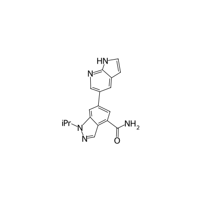 CC(C)n1ncc2c(C(N)=O)cc(-c3cnc4[nH]ccc4c3)cc21